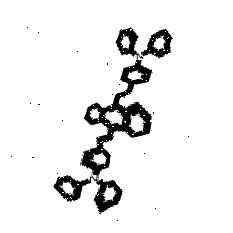 C(=Cc1c2ccccc2c(C=Cc2ccc(N(c3ccccc3)c3ccccc3)cc2)c2ccccc12)c1ccc(N(c2ccccc2)c2ccccc2)cc1